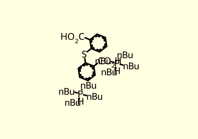 CCCC[PH](CCCC)(CCCC)CCCC.CCCC[PH](CCCC)(CCCC)CCCC.O=C(O)c1ccccc1Sc1ccccc1C(=O)O